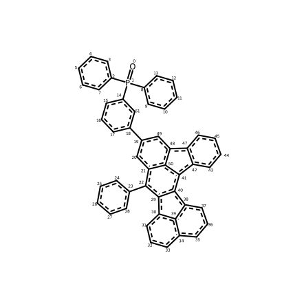 O=P(c1ccccc1)(c1ccccc1)c1cccc(-c2cc3c(-c4ccccc4)c4c5cccc6cccc(c65)c4c4c5ccccc5c(c2)c34)c1